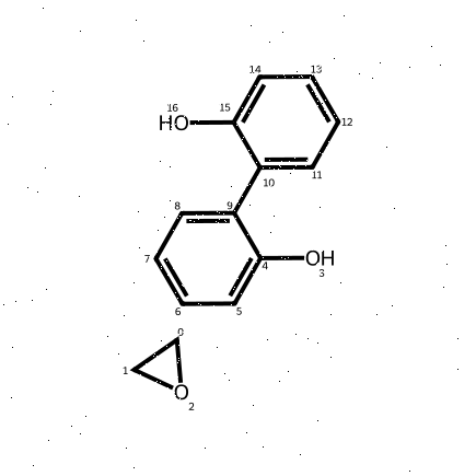 C1CO1.Oc1ccccc1-c1ccccc1O